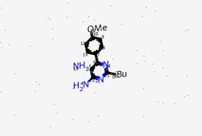 CCC(C)c1nc(N)cc(-c2ccc(OC)cc2)n1.N